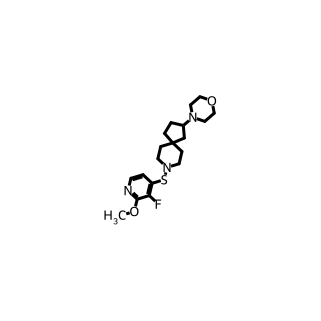 COc1nccc(SN2CCC3(CCC(N4CCOCC4)C3)CC2)c1F